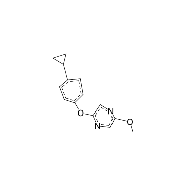 COc1cnc(Oc2ccc(C3CC3)cc2)cn1